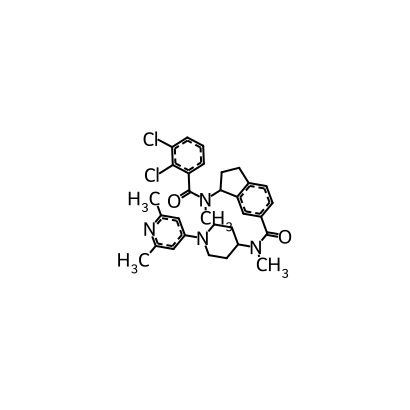 Cc1cc(N2CCC(N(C)C(=O)c3ccc4c(c3)C(N(C)C(=O)c3cccc(Cl)c3Cl)CC4)CC2)cc(C)n1